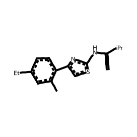 C=C(Nc1nc(-c2ccc(CC)cc2C)cs1)C(C)C